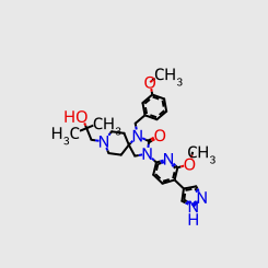 COc1cccc(CN2C(=O)N(c3ccc(-c4cn[nH]c4)c(OC)n3)CC23CCN(CC(C)(C)O)CC3)c1